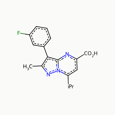 Cc1nn2c(C(C)C)cc(C(=O)O)nc2c1-c1cccc(F)c1